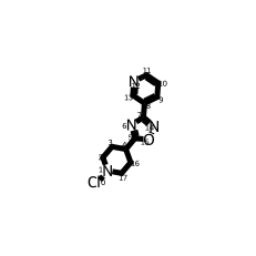 ClN1CCC(c2nc(-c3cccnc3)no2)CC1